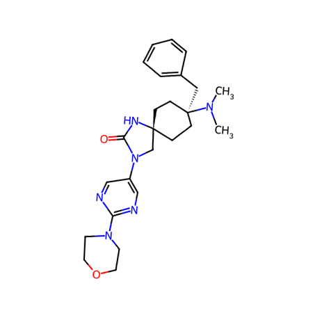 CN(C)[C@]1(Cc2ccccc2)CC[C@@]2(CC1)CN(c1cnc(N3CCOCC3)nc1)C(=O)N2